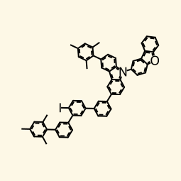 Cc1cc(C)c(-c2cccc(-c3cc(-c4cccc(-c5ccc6c(c5)c5cc(-c7c(C)cc(C)cc7C)ccc5n6-c5ccc6oc7ccccc7c6c5)c4)ccc3I)c2)c(C)c1